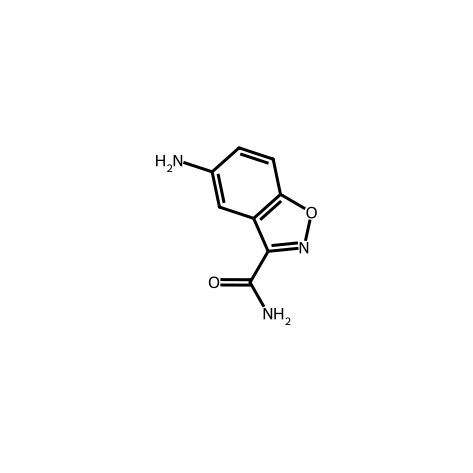 NC(=O)c1noc2ccc(N)cc12